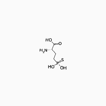 N[C@@H](CCP(O)(O)=S)C(=O)O